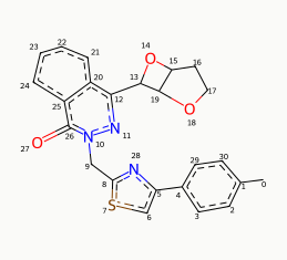 Cc1ccc(-c2csc(Cn3nc(C4OC5CCOC54)c4ccccc4c3=O)n2)cc1